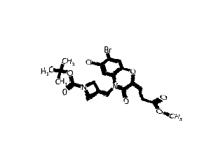 COC(=O)CCC1Oc2cc(Br)c(Cl)cc2N(CC2CN(C(=O)OC(C)(C)C)C2)C1=O